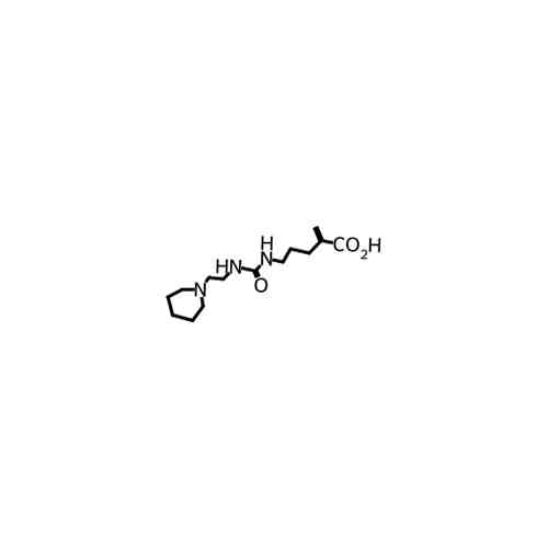 C=C(CCCNC(=O)NCCN1CCCCC1)C(=O)O